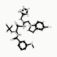 COc1cccc(C(=O)N[C@@H](CC(C)(C)C)C(=O)N[C@@H](Cc2nnn[nH]2)CN2CCc3cc(F)ccc32)c1